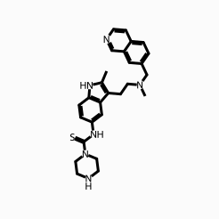 Cc1[nH]c2ccc(NC(=S)N3CCNCC3)cc2c1CCN(C)Cc1ccc2ccncc2c1